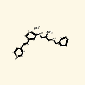 Cl.NC(COCc1ccccc1)COc1cncc(C=Cc2ccncc2)c1